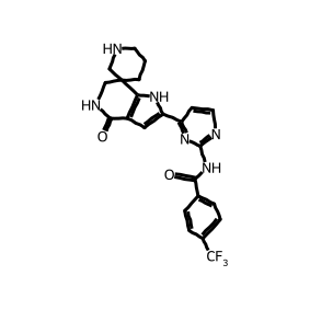 O=C(Nc1nccc(-c2cc3c([nH]2)C2(CCCNC2)CNC3=O)n1)c1ccc(C(F)(F)F)cc1